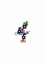 O=C([O-])c1ccc(C2(NC(=O)c3cc(Cl)cc4ccn(Cc5ccc(C(F)(F)F)cc5)c34)CC2)cc1.[K+]